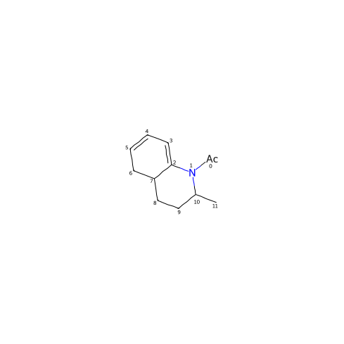 CC(=O)N1C2=CC=CCC2CCC1C